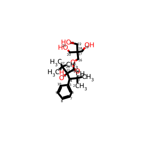 CC(C)(C)C(c1ccccc1)C(O)(C(=O)OCC(CO)(CO)CO)C(C)(C)C